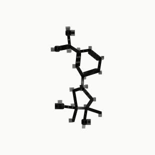 CC1(O)CN(c2cccc(C(=O)O)c2)CC1(C)O